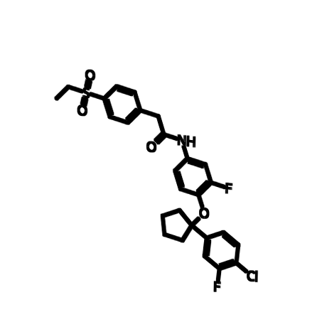 CCS(=O)(=O)c1ccc(CC(=O)Nc2ccc(OC3(c4ccc(Cl)c(F)c4)CCCC3)c(F)c2)cc1